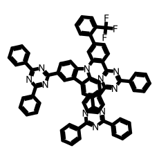 FC(F)(F)c1ccccc1-c1ccc(-c2nc(-c3ccccc3)nc(-c3ccccc3)n2)c(-n2c3ccc(-c4nc(-c5ccccc5)nc(-c5ccccc5)n4)cc3c3cc(-c4nc(-c5ccccc5)nc(-c5ccccc5)n4)ccc32)c1